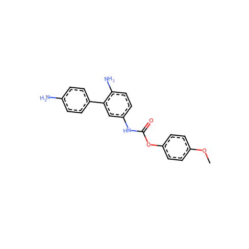 COc1ccc(OC(=O)Nc2ccc(N)c(-c3ccc(N)cc3)c2)cc1